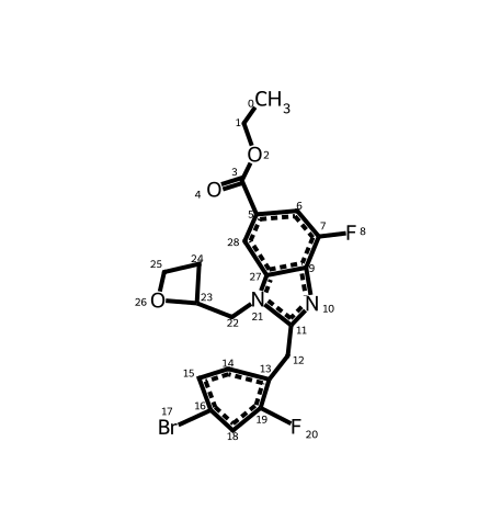 CCOC(=O)c1cc(F)c2nc(Cc3ccc(Br)cc3F)n(CC3CCO3)c2c1